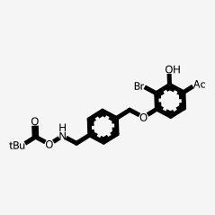 CC(=O)c1ccc(OCc2ccc(CNOC(=O)C(C)(C)C)cc2)c(Br)c1O